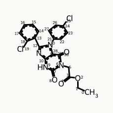 CCOC(=O)Cn1c(=O)[nH]c2nc(-c3ccccc3Cl)n(-c3ccc(Cl)cc3)c2c1=O